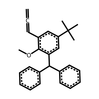 C=C=Cc1cc(C(C)(C)C)cc(C(c2ccccc2)c2ccccc2)c1OC